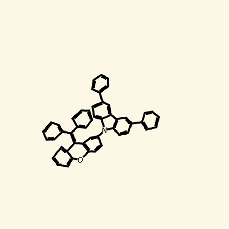 c1ccc(C(=C2c3ccccc3Oc3ccc(-n4c5ccc(-c6ccccc6)cc5c5cc(-c6ccccc6)ccc54)cc32)c2ccccc2)cc1